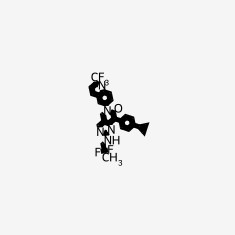 CC(F)(F)CNc1ncc2cn(-c3ccc4nc(C(F)(F)F)ccc4c3)c(=O)c(-c3ccc(C4CC4)cc3)c2n1